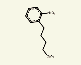 COCCCCc1ccccc1[N+](=O)[O-]